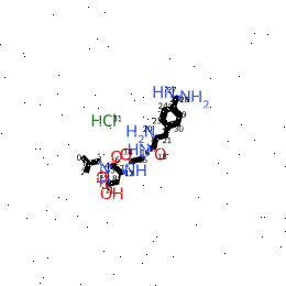 CC(C)CNC(=O)[C@H](CC(=O)O)NC(=O)CNC(=O)C(N)Cc1ccc(C(=N)N)cc1.Cl